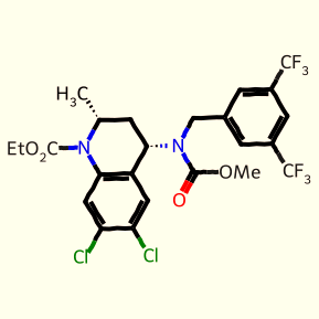 CCOC(=O)N1c2cc(Cl)c(Cl)cc2[C@@H](N(Cc2cc(C(F)(F)F)cc(C(F)(F)F)c2)C(=O)OC)C[C@H]1C